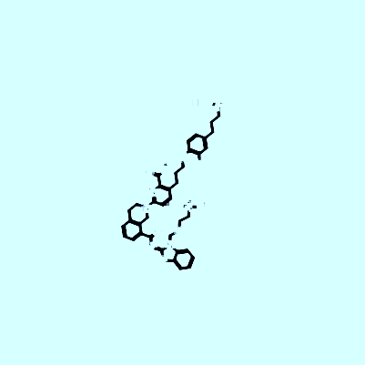 CN(C)CCCc1ccc(OCCCc2ccc(N3CCc4cccc(C(=O)N=c5sc6ccccc6n5COCC[Si](C)(C)C)c4C3)nc2C(=O)OC(C)(C)C)c(F)c1